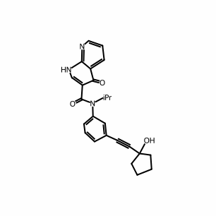 CC(C)N(C(=O)c1c[nH]c2ncccc2c1=O)c1cccc(C#CC2(O)CCCC2)c1